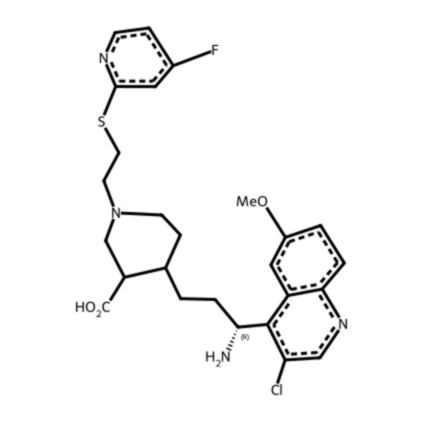 COc1ccc2ncc(Cl)c([C@H](N)CCC3CCN(CCSc4cc(F)ccn4)CC3C(=O)O)c2c1